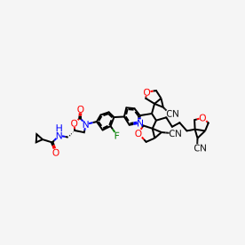 N#CC1C2COCC12CCCCC(C(c1ccc(-c2ccc(N3C[C@H](CNC(=O)C4CC4)OC3=O)cc2F)cn1)C12COCC1C2C#N)C12COCC1C2C#N